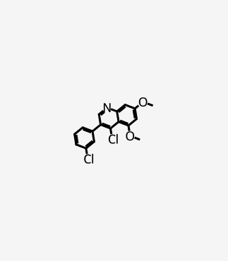 COc1cc(OC)c2c(Cl)c(-c3cccc(Cl)c3)cnc2c1